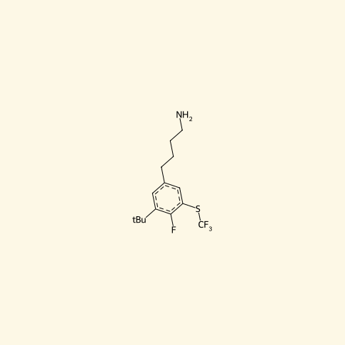 CC(C)(C)c1cc(CCCCN)cc(SC(F)(F)F)c1F